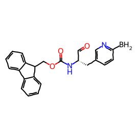 Bc1ccc(C[C@@H](C=O)NC(=O)OCC2c3ccccc3-c3ccccc32)cn1